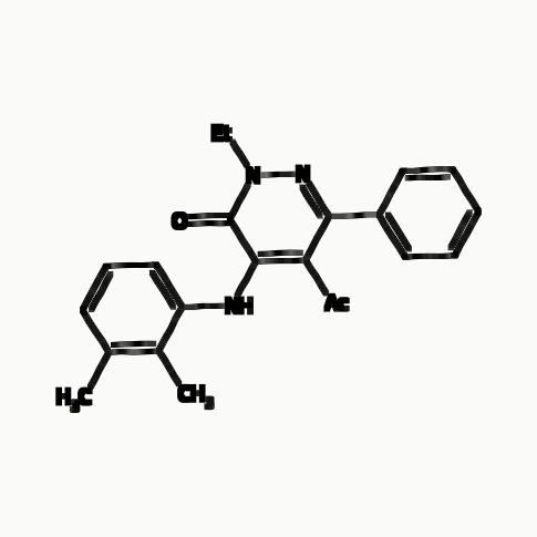 CCn1nc(-c2ccccc2)c(C(C)=O)c(Nc2cccc(C)c2C)c1=O